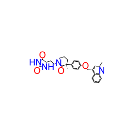 Cc1cc(COc2ccc(C3(C)CCCN(CCC4NC(=O)NC4=O)C3=O)cc2)c2ccccc2n1